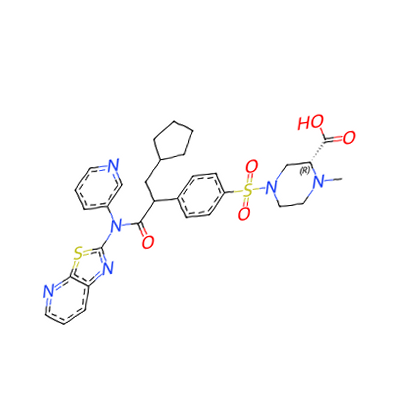 CN1CCN(S(=O)(=O)c2ccc(C(CC3CCCC3)C(=O)N(c3cccnc3)c3nc4cccnc4s3)cc2)C[C@@H]1C(=O)O